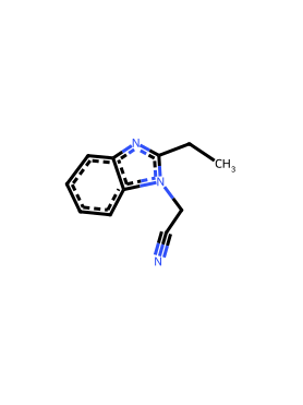 CCc1nc2ccccc2n1CC#N